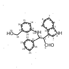 O=CC(c1c[nH]c2ccccc12)C(Nc1cccc(CO)c1)c1ccccc1